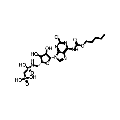 CCCCCOC(=O)Nc1nc(Cl)nc2c1ncn2[C@@H]1O[C@H](CNP(=O)(O)CP(=O)(O)O)C(O)C1O